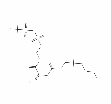 C=C(CC(=O)OCC(F)(F)CNCC)C(=O)OCCS(=O)(=O)NS(=O)(=O)C(F)(F)F